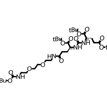 CC(C)(C)OC(=O)CC[C@H](NC(=O)N[C@@H](CCC(=O)NCCOCCOCCNC(=O)OC(C)(C)C)C(=O)OC(C)(C)C)C(=O)OC(C)(C)C